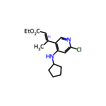 CCOC(=O)/C=C(\C)c1cnc(Cl)cc1NC1CCCC1